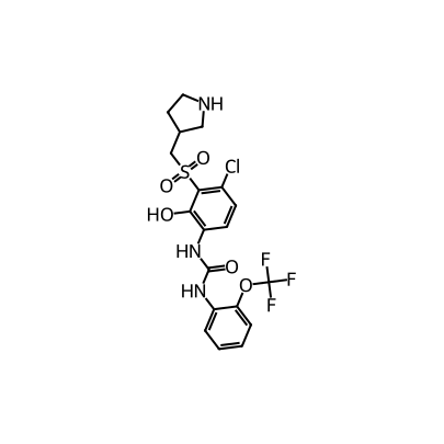 O=C(Nc1ccccc1OC(F)(F)F)Nc1ccc(Cl)c(S(=O)(=O)CC2CCNC2)c1O